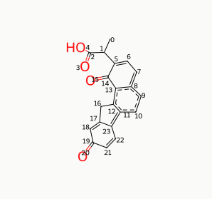 CC(C(=O)O)C1=CC=c2ccc3c(c2C1=O)CC1=CC(=O)C=CC=31